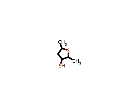 CC1CC(S)C(C)S1